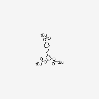 CC(C)(C)C(=O)Oc1ccc(CCc2cc(OC(=O)C(C)(C)C)cc(OC(=O)C(C)(C)C)c2)cc1